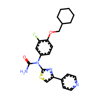 NC(=O)N(c1ccc(OCC2CCCCC2)c(F)c1)c1nc(-c2ccncc2)cs1